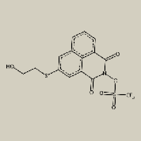 O=C1c2cccc3cc(SCCO)cc(c23)C(=O)N1OS(=O)(=O)C(F)(F)F